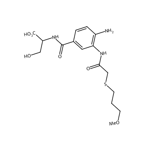 COCCCSCC(=O)Nc1cc(C(=O)NC(CO)C(=O)O)ccc1N